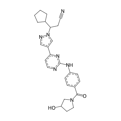 N#CCC(C1CCCC1)n1cc(-c2ccnc(Nc3ccc(C(=O)N4CCC(O)C4)cc3)n2)cn1